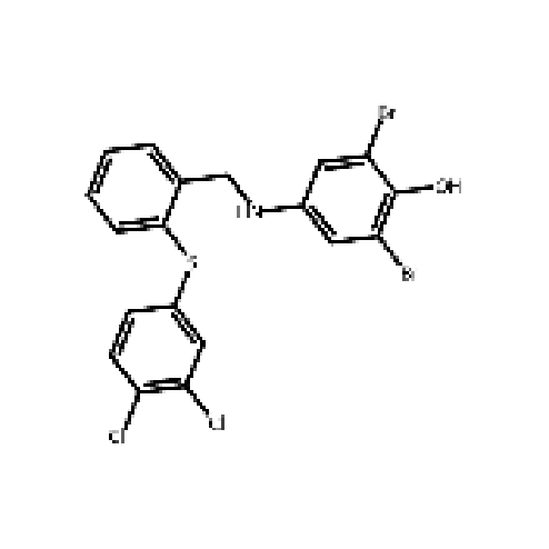 Oc1c(Br)cc(NCc2ccccc2Sc2ccc(Cl)c(Cl)c2)cc1Br